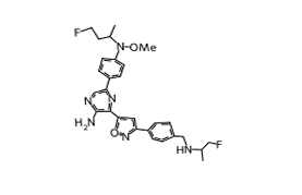 CON(c1ccc(-c2cnc(N)c(-c3cc(-c4ccc(CNC(C)CF)cc4)no3)n2)cc1)C(C)CCF